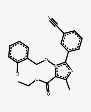 CCOC(=O)c1c(C)nc(-c2cccc(C#N)c2)n1OCc1ccccc1Cl